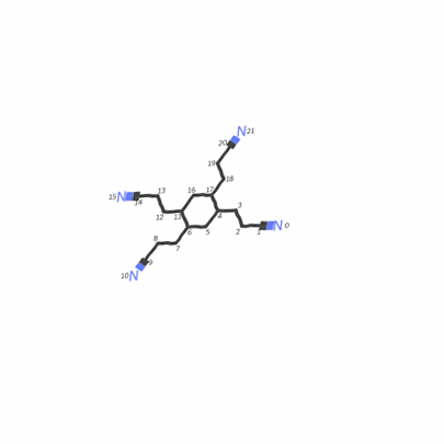 N#CCCC1CC(CCC#N)C(CCC#N)CC1CCC#N